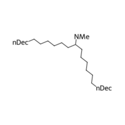 CCCCCCCCCCCCCCCCC(CCCCCCCCCCCCCCCC)NC